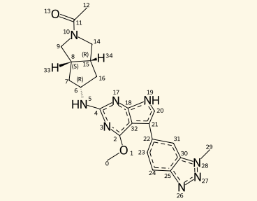 COc1nc(N[C@@H]2C[C@@H]3CN(C(C)=O)C[C@@H]3C2)nc2[nH]cc(-c3ccc4nnn(C)c4c3)c12